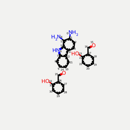 Nc1ccc2c([nH]c3ccccc32)c1N.O=Cc1ccccc1O.O=Cc1ccccc1O